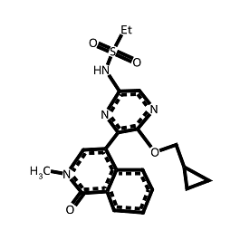 CCS(=O)(=O)Nc1cnc(OCC2CC2)c(-c2cn(C)c(=O)c3ccccc23)n1